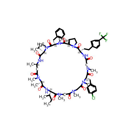 CCC(C)[C@@H]1NC(=O)[C@H](C)N(C)C(=O)C[C@@H](C)NC(=O)[C@H](C(C)C)N(C)C(=O)[C@H](Cc2ccccc2)N(C)C(=O)[C@@H]2CCCN2C(=O)[C@H](CCc2ccc(C(F)(F)F)cc2)NC(=O)CN(C)C(=O)[C@H](Cc2ccc(Cl)cc2)N(C)C(=O)CN(C)C(=O)CN(C)C1=O